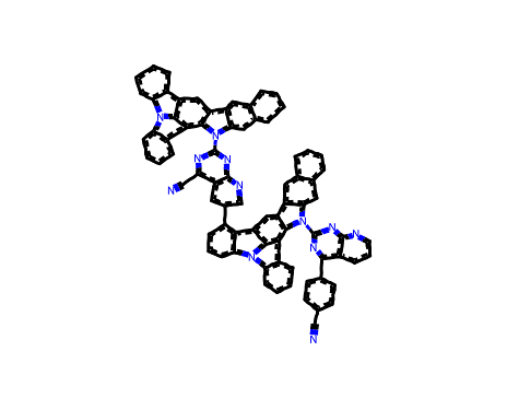 N#Cc1ccc(-c2nc(-n3c4cc5ccccc5cc4c4cc5c6c(-c7cnc8nc(-n9c%10cc%11ccccc%11cc%10c%10cc%11c%12ccccc%12n%12c%13ccccc%13c(c%109)c%11%12)nc(C#N)c8c7)cccc6n6c7ccccc7c(c43)c56)nc3ncccc23)cc1